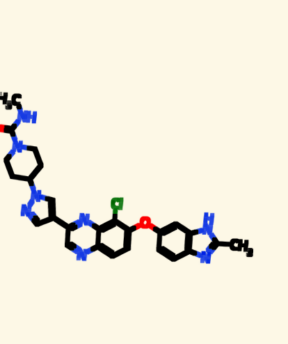 CNC(=O)N1CCC(n2cc(-c3cnc4ccc(Oc5ccc6nc(C)[nH]c6c5)c(Cl)c4n3)cn2)CC1